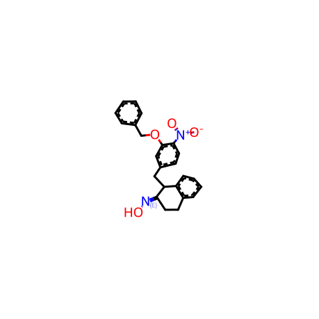 O=[N+]([O-])c1ccc(CC2/C(=N/O)CCc3ccccc32)cc1OCc1ccccc1